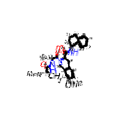 CN[C@@H](C)C(=O)N[C@H](C(=O)N1Cc2cc(OC)ccc2CC1C(=O)NC1CCCc2ccccc21)C(C)(C)C